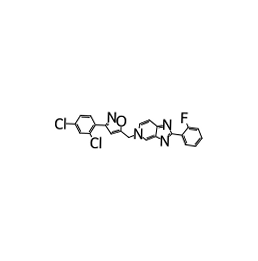 Fc1ccccc1-c1nc2ccn(Cc3cc(-c4ccc(Cl)cc4Cl)no3)cc-2n1